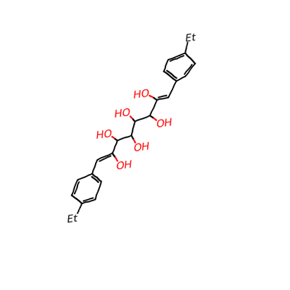 CCc1ccc(C=C(O)C(O)C(O)C(O)C(O)C(O)=Cc2ccc(CC)cc2)cc1